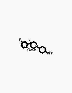 CCCC1CCC(N2CCC(F)(c3cc(F)ccc3OC)CC2)CC1